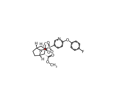 COC(=O)[C@@H]1[C@@H]2CC[C@H](CN1S(=O)(=O)c1ccc(Oc3ccc(F)cc3)nc1)N2C(C)=O